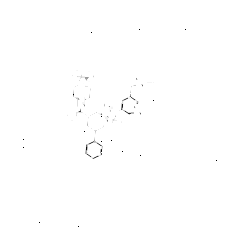 NCc1cncc(S(=O)(=O)N2CC(C(=O)N3CCS(=O)(=O)CC3)CC(c3ccccc3)C2)c1